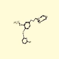 COc1cc(CCCn2cncn2)ccc1Oc1cccc(F)n1